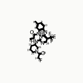 C=CC(=O)Nc1cc(C)ccc1Nc1nc(NC2CCCN(C(=O)CF)C2)ncc1C(F)(F)F